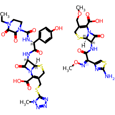 CCN1CCN(C(=O)N[C@@H](C(=O)N[C@@H]2C(=O)N3C(C(=O)O)=C(CSc4nnnn4C)CS[C@H]23)c2ccc(O)cc2)C(=O)C1=O.COCC1=C(C(=O)O)N2C(=O)[C@@H](NC(=O)/C(=N\OC)c3csc(N)n3)[C@H]2SC1